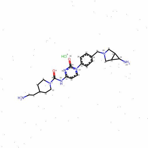 Cl.NCCC1CCN(C(=O)Nc2ccn(-c3ccc(CN4CC5C(N)C5C4)cc3)c(=O)n2)CC1